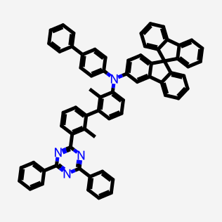 Cc1c(-c2nc(-c3ccccc3)nc(-c3ccccc3)n2)cccc1-c1cccc(N(c2ccc(-c3ccccc3)cc2)c2ccc3c(c2)-c2ccccc2C32c3ccccc3-c3ccccc32)c1C